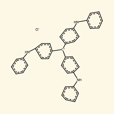 [Cl-].c1ccc(Nc2ccc([C+](c3ccc(Nc4ccccc4)cc3)c3ccc(Nc4ccccc4)cc3)cc2)cc1